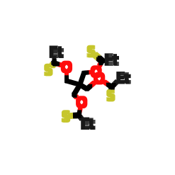 CCC(=S)OCC(COC(=S)CC)(COC(=S)CC)COC(=S)CC